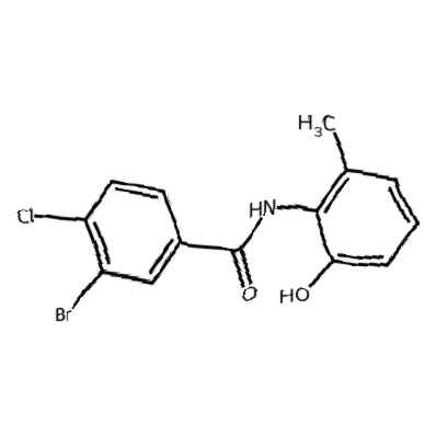 Cc1cccc(O)c1NC(=O)c1ccc(Cl)c(Br)c1